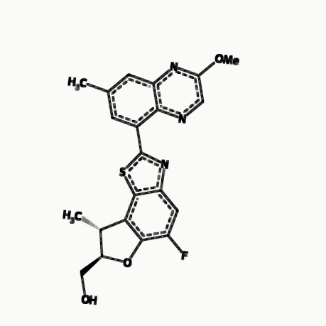 COc1cnc2c(-c3nc4cc(F)c5c(c4s3)[C@@H](C)[C@H](CO)O5)cc(C)cc2n1